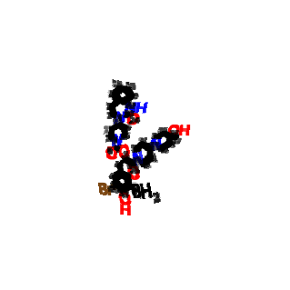 Bc1cc(C[C@@H](OC(=O)N2CCC(N3CCc4ccccc4NC3=O)CC2)C(=O)N2CCC(N3CCC(C)(O)CC3)CC2)cc(Br)c1O